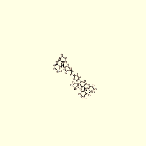 C(=C\c1ccc2c(c1)C1(CCCC1)c1cc(N3c4ccccc4Cc4ccccc43)ccc1-2)/c1ccc(N2c3ccccc3Cc3ccccc32)cc1